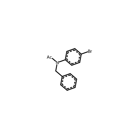 CC(=O)N(Cc1ccccc1)c1ccc(Br)cc1